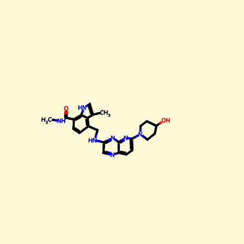 CNC(=O)c1ccc(CNc2cnc3ccc(N4CCC(O)CC4)nc3n2)c2c(C)c[nH]c12